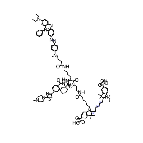 CCN(CC)c1ccc2nc3ccc(/N=N/c4ccc(N(C)CCCC(=O)NCCCC[C@H](NC(=O)C5(NC(=O)c6ccc(-c7csc(N8CCN(C)CC8)n7)cc6)CCCCC5)C(=O)NCCNC(=O)CCCCCN5C6=C(CC(S(=O)(=O)O)C=C6)C(C)(C)/C5=C/C=C/C=C/C5=[N+](CC)c6ccc(S(=O)(=O)O)cc6C5(C)C)cc4)cc3[n+](-c3ccccc3)c2c1